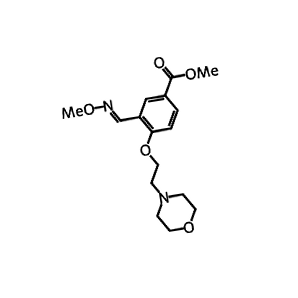 CON=Cc1cc(C(=O)OC)ccc1OCCN1CCOCC1